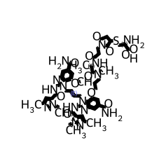 CCn1nc(C)cc1C(=O)Nc1nc2cc(C(N)=O)cc(OC)c2n1C/C=C/Cn1c(NC(=O)c2cc(C)nn2CC)nc2cc(C(N)=O)cc(OCCCN(C)C(=O)[C@H](C)NC(=O)CCN3C(=O)CC(SC[C@H](N)C(=O)O)C3=O)c21